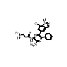 CCN(CC)CCC(=O)Nc1nc(-c2cc(Cl)c3[nH]ncc3c2)c(-c2ccccc2)nc1N